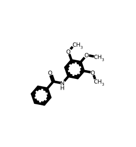 COc1cc(NC(=O)c2ccccc2)cc(OC)c1OC